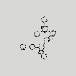 c1ccc(-c2ccc(-c3nc(-c4ccc5c(c4)sc4cccc(-c6nc(-c7ccccc7)nc(-c7ccccc7)n6)c45)nc4c3sc3ccccc34)cc2)cc1